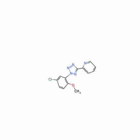 COc1ccc(Cl)cc1-n1nnc(-c2ccccn2)n1